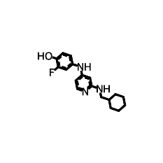 Oc1ccc(Nc2ccnc(NCC3CCCCC3)c2)cc1F